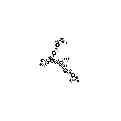 N=C(N)Nc1ccc(C(=O)Oc2ccc(CNS(=O)(=O)N(CCCCCN(C(CC(=O)O)C(=O)O)S(=O)(=O)NCc3ccc(OC(=O)c4ccc(NC(=N)N)cc4)cc3)C(CC(=O)O)C(=O)O)cc2)cc1